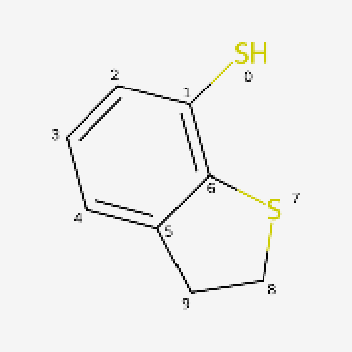 Sc1cccc2c1SCC2